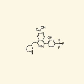 CN1CCCC(Cc2nnc(-c3ccc(C(F)(F)F)cc3O)c3cnccc23)C1.O=CO